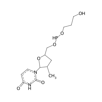 CC1CC(COPOCCCO)OC1n1ccc(=O)[nH]c1=O